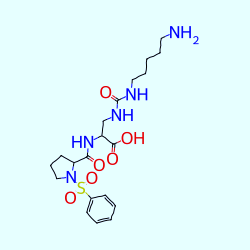 NCCCCCNC(=O)NCC(NC(=O)C1CCCN1S(=O)(=O)c1ccccc1)C(=O)O